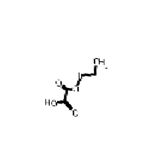 C[CH2][Ti][O]C(=O)C(=O)O